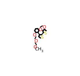 COCCOCCOc1ccccc1-c1ccsc1-c1scc2c1OCCO2